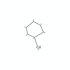 [Cd][CH]1CCCCC1